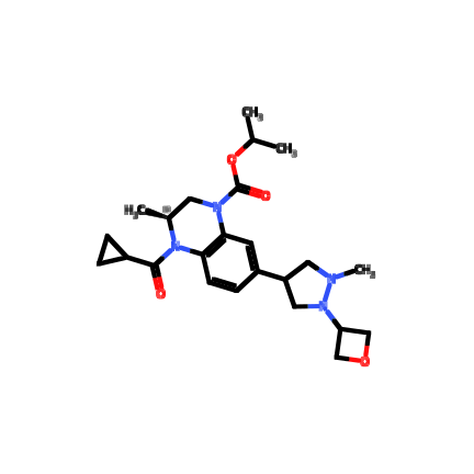 CC(C)OC(=O)N1C[C@H](C)N(C(=O)C2CC2)c2ccc(C3CN(C)N(C4COC4)C3)cc21